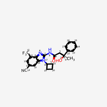 C[C@](O)(CC(=O)Nc1nc2c(C(F)(F)F)cc(C#N)cc2n1C1CCC1)c1ccccc1